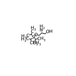 CC(C)[Si](OC[C@H](N)CO)(C(C)C)C(C)C